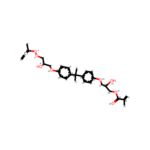 C=C=C(C)OOCC(O)COc1ccc(C(C)(C)c2ccc(OCC(O)COC(=O)C(=C)C)cc2)cc1